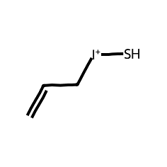 C=CC[I+]S